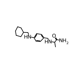 CC(NCc1ccc(NCC2CCCCC2)cc1)C(N)=O